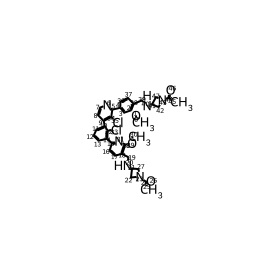 COc1cc(-c2nccc(-c3cccc(-c4ccc(CNC5CN(C(C)=O)C5)c(OC)n4)c3Cl)c2Cl)ccc1CNC1CN(C(C)=O)C1